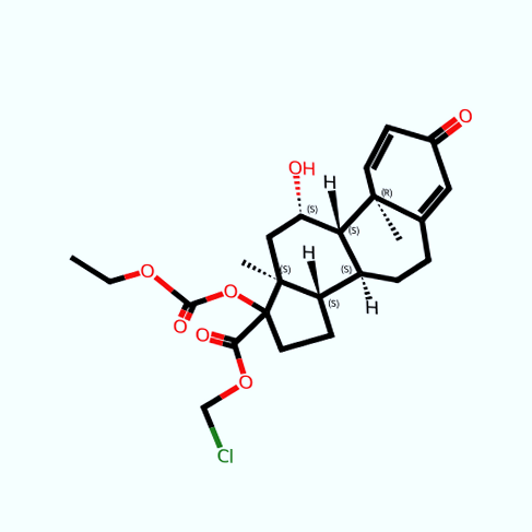 CCOC(=O)OC1(C(=O)OCCl)CC[C@H]2[C@@H]3CCC4=CC(=O)C=C[C@]4(C)[C@H]3[C@@H](O)C[C@@]21C